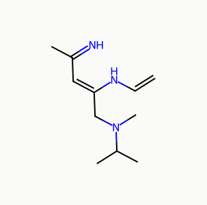 C=CN/C(=C\C(C)=N)CN(C)C(C)C